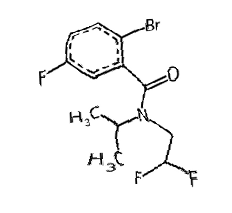 CC(C)N(CC(F)F)C(=O)c1cc(F)ccc1Br